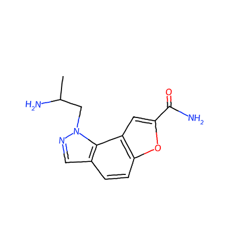 CC(N)Cn1ncc2ccc3oc(C(N)=O)cc3c21